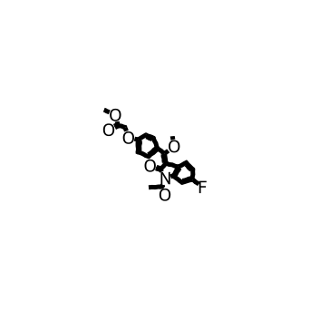 COC(=O)COc1ccc(C(OC)=C2C(=O)N(C(C)=O)c3cc(F)ccc32)cc1